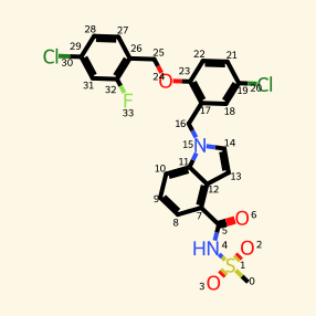 CS(=O)(=O)NC(=O)c1cccc2c1ccn2Cc1cc(Cl)ccc1OCc1ccc(Cl)cc1F